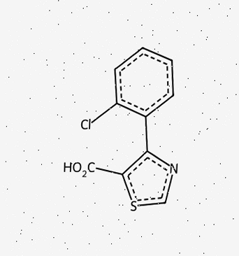 O=C(O)c1scnc1-c1ccccc1Cl